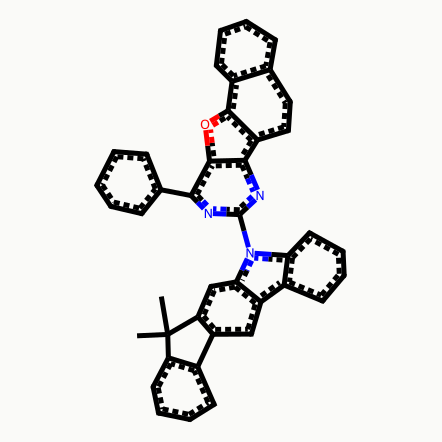 CC1(C)c2ccccc2-c2cc3c4ccccc4n(-c4nc(-c5ccccc5)c5oc6c7ccccc7ccc6c5n4)c3cc21